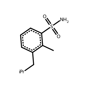 Cc1c(CC(C)C)cccc1S(N)(=O)=O